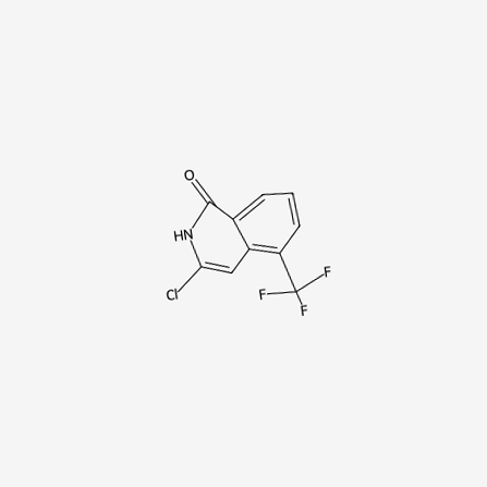 O=c1[nH]c(Cl)cc2c(C(F)(F)F)cccc12